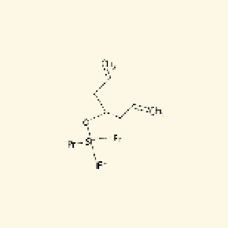 C=CCC(CC=C)O[Si](C(C)C)(C(C)C)C(C)C